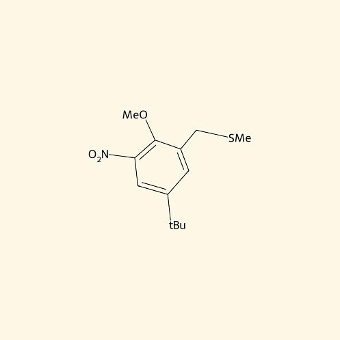 COc1c(CSC)cc(C(C)(C)C)cc1[N+](=O)[O-]